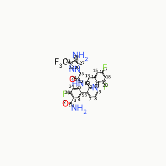 NC(=O)c1cc(-c2cccnc2[C@H](Cc2cc(F)cc(F)c2)NC(=O)Cn2cc(N)c(C(F)(F)F)n2)ccc1F